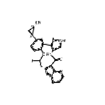 N#C[C@H]1C[C@@H]1c1ccc(OC(F)F)c(-c2n[nH]cc2NC(=O)c2cnn3cccnc23)c1